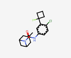 CC1CC2CC(C1)N2C(=O)Nc1ccc(Cl)c(C2(F)CCC2)c1